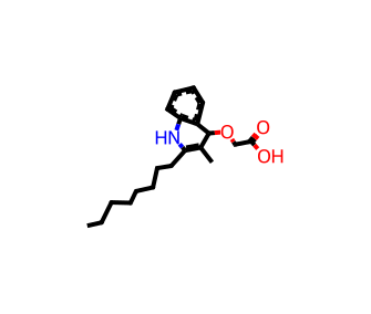 CCCCCCCCC1=C(C)C(OCC(=O)O)c2ccccc2N1